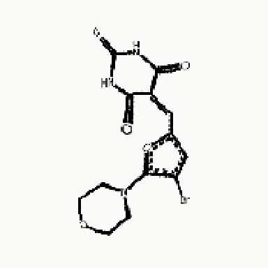 O=C1NC(=O)C(=Cc2cc(Br)c(N3CCOCC3)o2)C(=O)N1